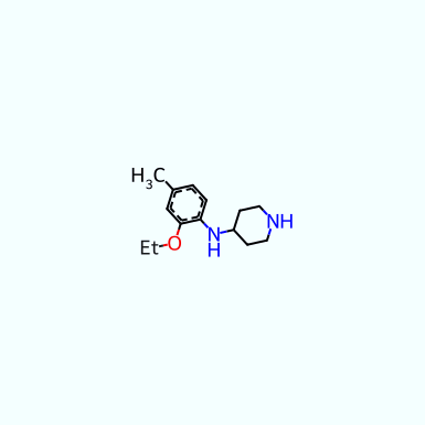 CCOc1cc(C)ccc1NC1CCNCC1